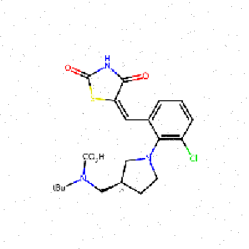 CC(C)(C)N(C[C@@H]1CCN(c2c(Cl)cccc2C=C2SC(=O)NC2=O)C1)C(=O)O